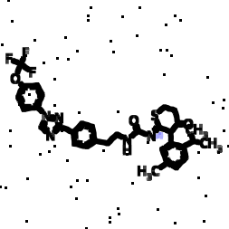 Cc1ccc(C(C)C)c(C2C(=O)CCS/C2=N\C(=O)NCCc2ccc(-c3ncn(-c4ccc(OC(F)(F)F)cc4)n3)cc2)c1